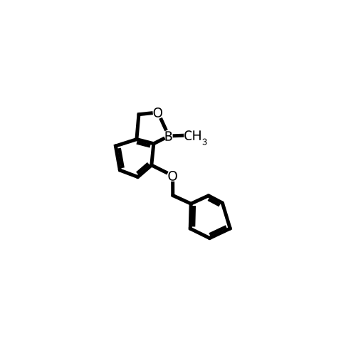 CB1OCc2cccc(OCc3ccccc3)c21